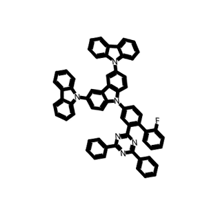 Fc1ccccc1-c1ccc(-n2c3ccc(-n4c5ccccc5c5ccccc54)cc3c3cc(-n4c5ccccc5c5ccccc54)ccc32)cc1-c1nc(-c2ccccc2)nc(-c2ccccc2)n1